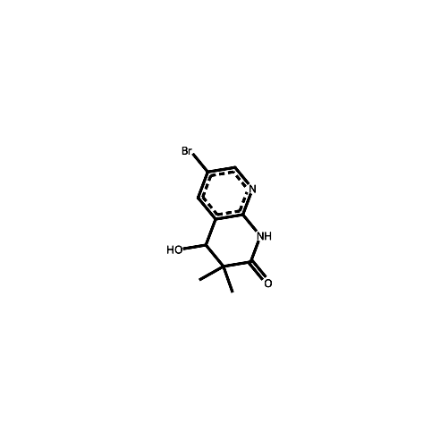 CC1(C)C(=O)Nc2ncc(Br)cc2C1O